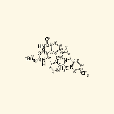 CC(c1ncccn1)N(Cc1ccc(C(F)(F)F)cn1)C(=O)C1(c2ccc3c(=O)[nH]nc(CNC(=O)OC(C)(C)C)c3c2)CC1